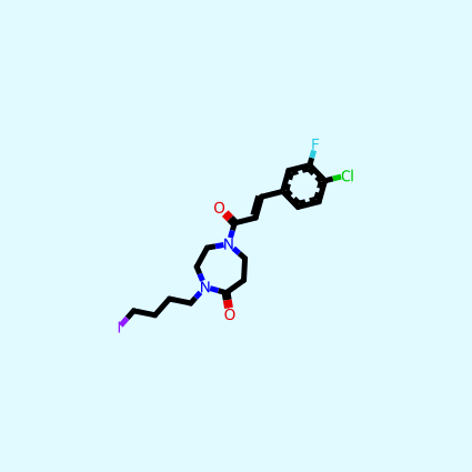 O=C(C=Cc1ccc(Cl)c(F)c1)N1CCC(=O)N(CCCCI)CC1